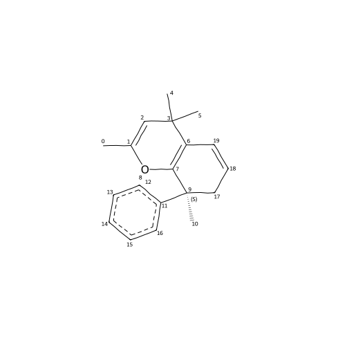 CC1=CC(C)(C)C2=C(O1)[C@](C)(c1ccccc1)CC=C2